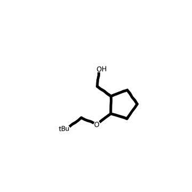 CC(C)(C)COC1CCCC1CO